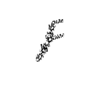 COc1ccc(C2COc3cc(Cc4cnc5cc(N6CCOCC6)cnn45)cc(OC)c3O2)cn1